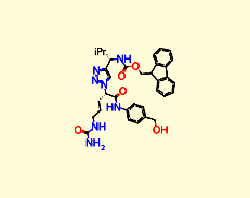 CC(C)[C@H](NC(=O)OCC1c2ccccc2-c2ccccc21)c1cn([C@@H](CCCNC(N)=O)C(=O)Nc2ccc(CO)cc2)nn1